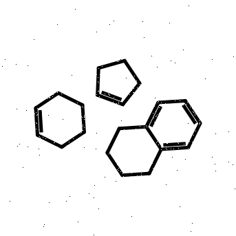 C1=CCCC1.C1=CCCCC1.c1ccc2c(c1)CCCC2